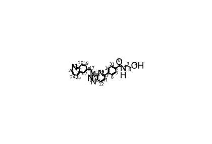 O=C(NCCO)c1ccc(-c2ccc3nnn(Cc4ccc5ncccc5c4)c3n2)cc1